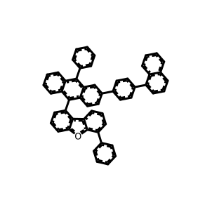 c1ccc(-c2c3ccccc3c(-c3cccc4oc5c(-c6ccccc6)cccc5c34)c3ccc(-c4ccc(-c5cccc6ccccc56)cc4)cc23)cc1